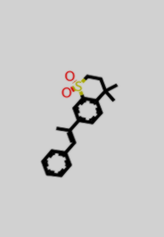 CC(=Cc1ccccc1)c1ccc2c(c1)S(=O)(=O)CCC2(C)C